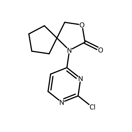 O=C1OCC2(CCCC2)N1c1ccnc(Cl)n1